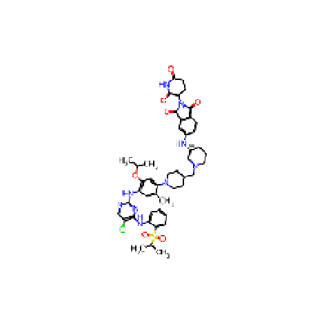 Cc1cc(Nc2ncc(Cl)c(Nc3ccccc3S(=O)(=O)C(C)C)n2)c(OC(C)C)cc1N1CCC(CN2CCC[C@@H](Nc3ccc4c(c3)C(=O)N(C3CCC(=O)NC3=O)C4=O)C2)CC1